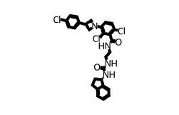 O=C(NCCNC(=O)c1c(Cl)ccc(N2CC(c3ccc(Cl)cc3)C2)c1Cl)N[C@@H]1CCc2ccccc21